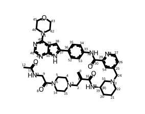 C=C(CN1CCN(C(=O)CNC(C)=O)CC1)C(=O)N[C@@H]1CCCN(Cc2ccnc(C(=O)Nc3ccc(-c4cc5c(N6CCOCC6)ncnc5[nH]4)cc3)c2)C1